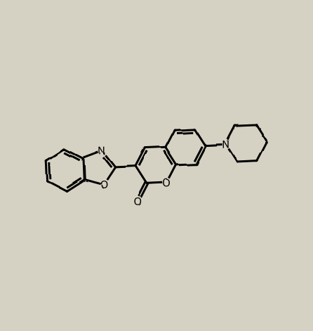 O=c1oc2cc(N3CCCCC3)ccc2cc1-c1nc2ccccc2o1